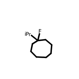 CC(C)C1(F)CCCCCCC1